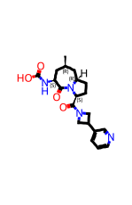 C[C@H]1C[C@H]2CC[C@@H](C(=O)N3CC(c4cccnc4)C3)N2C(=O)[C@@H](NC(=O)O)C1